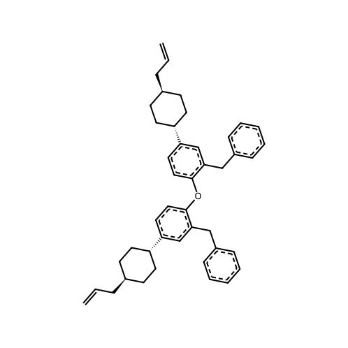 C=CC[C@H]1CC[C@H](c2ccc(Oc3ccc([C@H]4CC[C@H](CC=C)CC4)cc3Cc3ccccc3)c(Cc3ccccc3)c2)CC1